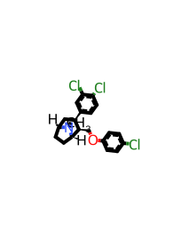 CN1[C@@H]2CC[C@@H]1[C@H](COc1ccc(Cl)cc1)[C@H](c1ccc(Cl)c(Cl)c1)C2